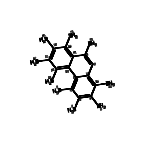 Bc1c(B)c(B)c2c(cc(B)c3c(B)c(B)c(B)c(B)c32)c1B